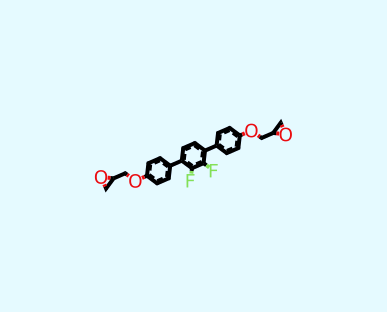 Fc1c(-c2ccc(OCC3CO3)cc2)ccc(-c2ccc(OCC3CO3)cc2)c1F